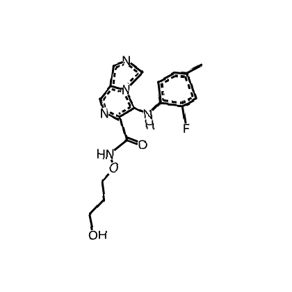 Cc1ccc(Nc2c(C(=O)NOCCCO)ncc3cncn23)c(F)c1